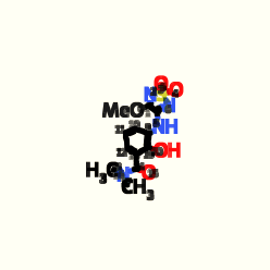 COC1=NS(=O)(=O)N=C1Nc1cccc(C(=O)N(C)C)c1O